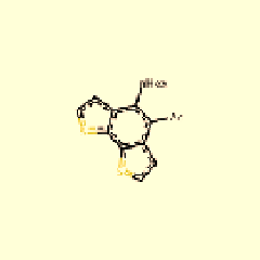 CCCCCCc1c(C(C)=O)c2ccsc2c2sccc12